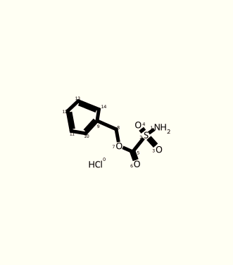 Cl.NS(=O)(=O)C(=O)OCc1ccccc1